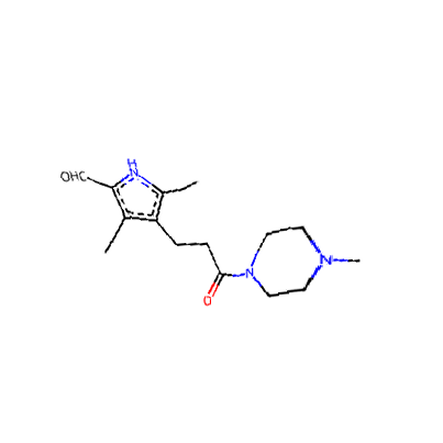 Cc1[nH]c(C=O)c(C)c1CCC(=O)N1CCN(C)CC1